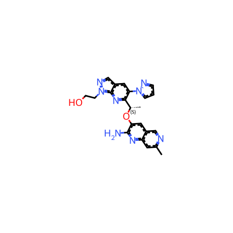 Cc1cc2nc(N)c(O[C@@H](C)c3nc4c(cnn4CCO)cc3-n3cccn3)cc2cn1